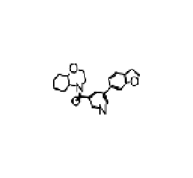 O=C(c1cncc(-c2ccc3c(c2)OCC3)c1)N1CCOC2CCCCC21